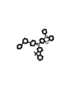 CC1(C)c2ccccc2-c2ccc(N(c3ccc(-c4cccc(-c5ccccc5)c4)cc3)c3ccc4c(c3)Oc3ccccc3N4c3ccccc3)cc21